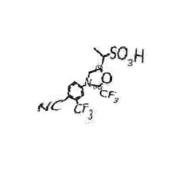 CC([C@@H]1CN(c2ccc(C#N)c(C(F)(F)F)c2)[C@@H](C(F)(F)F)O1)S(=O)(=O)O